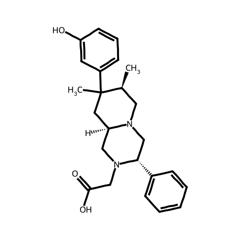 C[C@H]1CN2C[C@H](c3ccccc3)N(CC(=O)O)C[C@H]2CC1(C)c1cccc(O)c1